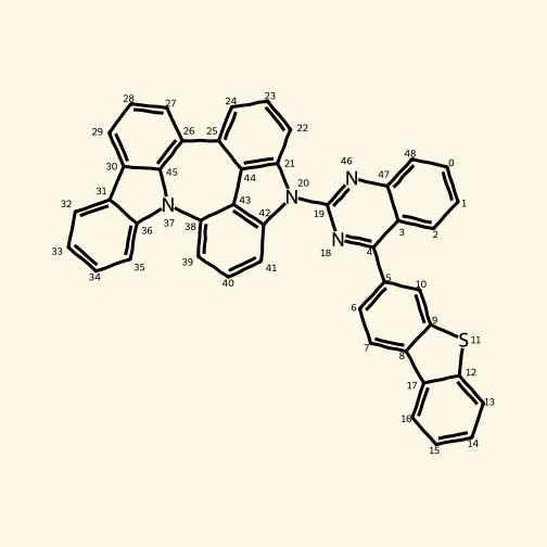 c1ccc2c(-c3ccc4c(c3)sc3ccccc34)nc(-n3c4cccc5c6cccc7c8ccccc8n(c8cccc3c8c54)c67)nc2c1